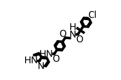 CC(C)(C(=O)NCC(=O)c1ccc(C(=O)Nc2ccnc3[nH]ccc23)cc1)c1ccc(Cl)cc1